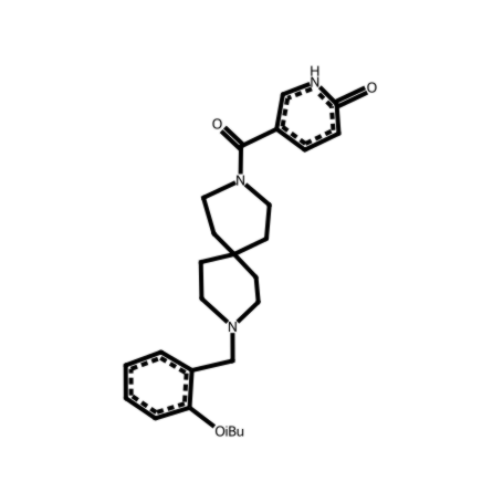 CC(C)COc1ccccc1CN1CCC2(CC1)CCN(C(=O)c1ccc(=O)[nH]c1)CC2